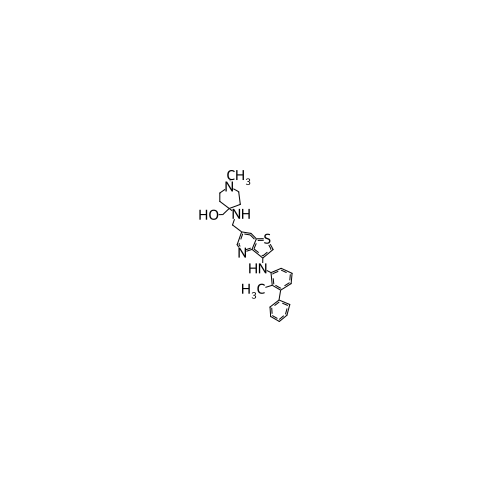 Cc1c(Nc2csc3cc(CNC4(CO)CCN(C)CC4)cnc23)cccc1-c1ccccc1